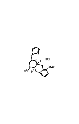 CCCN1C[C@@H](Cn2cccn2)O[C@@H]2Cc3c(cccc3OC)C[C@H]21.Cl